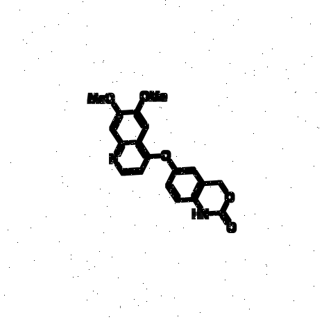 COc1cc2nccc(Oc3ccc4c(c3)COC(=O)N4)c2cc1OC